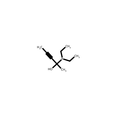 CC#CC(C)(O)N(CC)CC